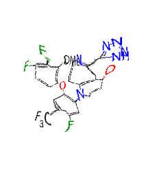 COc1c(Oc2cc(C(F)(F)F)c(F)cc2-n2ccc(=O)c3c(-c4nnn[nH]4)nccc32)ccc(F)c1F